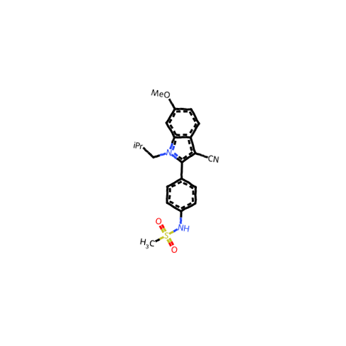 COc1ccc2c(C#N)c(-c3ccc(NS(C)(=O)=O)cc3)n(CC(C)C)c2c1